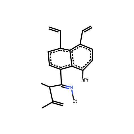 C=Cc1ccc(CCC)c2c(/C(=N/CC)C(C)C(=C)C)ccc(C=C)c12